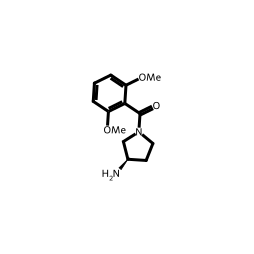 COc1cccc(OC)c1C(=O)N1CC[C@@H](N)C1